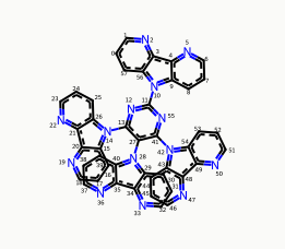 c1cnc2c3ncccc3n(-c3nc(-n4c5cccnc5c5ncccc54)c(-n4c5cccnc5c5ncccc54)c(-n4c5cccnc5c5ncccc54)n3)c2c1